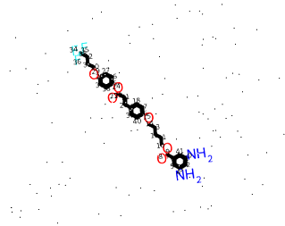 Nc1cc(N)cc(C(=O)OCCCCCOc2ccc(/C=C/C(=O)Oc3ccc(OCCCC(F)(F)F)cc3)cc2)c1